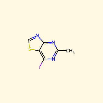 Cc1nc(I)c2scnc2n1